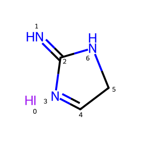 I.N=C1N=CCN1